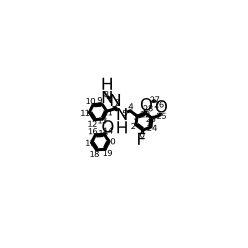 Fc1cc(CNc2n[nH]c3cccc(Oc4ccccc4)c23)c2c(c1)COCO2